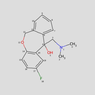 CN(C)CC1(O)c2ccccc2COc2ccc(F)cc21